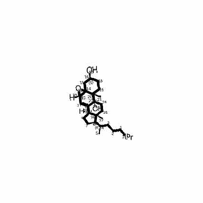 CC(C)CCC[C@@H](C)[C@H]1CC[C@H]2C3=C[C@@H]4OC45C[C@@H](O)CC[C@]5(C)[C@@]3(O)CC[C@]12C